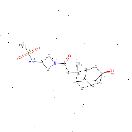 CS(=O)(=O)NC1CN(C(=O)C[C@]2(C)C3CC4CC2C[C@@](O)(C4)C3)C1